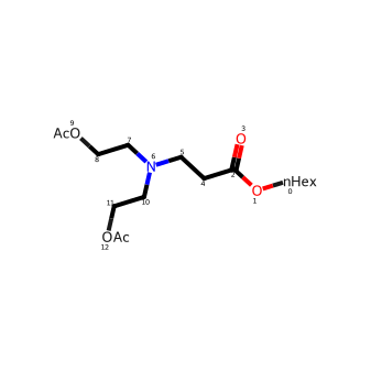 CCCCCCOC(=O)CCN(CCOC(C)=O)CCOC(C)=O